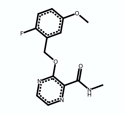 CNC(=O)c1nccnc1OCc1cc(OC)ccc1F